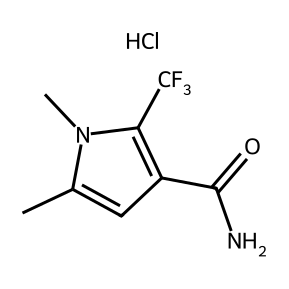 Cc1cc(C(N)=O)c(C(F)(F)F)n1C.Cl